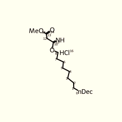 CCCCCCCCCCCCCCCCCCOC(=N)CC(=O)OC.Cl